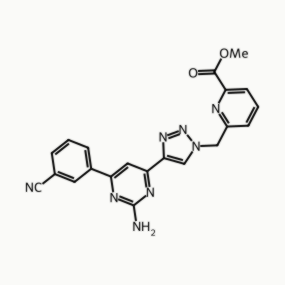 COC(=O)c1cccc(Cn2cc(-c3cc(-c4cccc(C#N)c4)nc(N)n3)nn2)n1